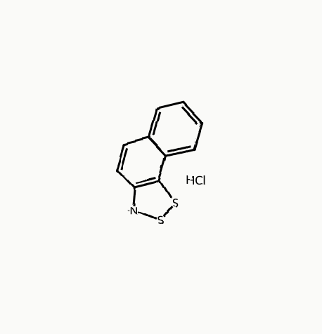 Cl.c1ccc2c3c(ccc2c1)[N]SS3